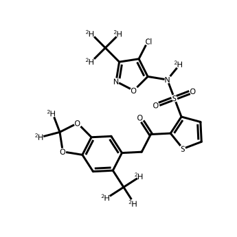 [2H]N(c1onc(C([2H])([2H])[2H])c1Cl)S(=O)(=O)c1ccsc1C(=O)Cc1cc2c(cc1C([2H])([2H])[2H])OC([2H])([2H])O2